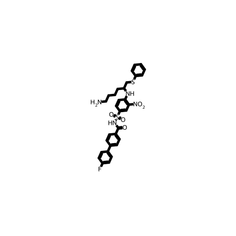 NCCCCC(CSc1ccccc1)Nc1ccc(S(=O)(=O)NC(=O)c2ccc(-c3ccc(F)cc3)cc2)cc1[N+](=O)[O-]